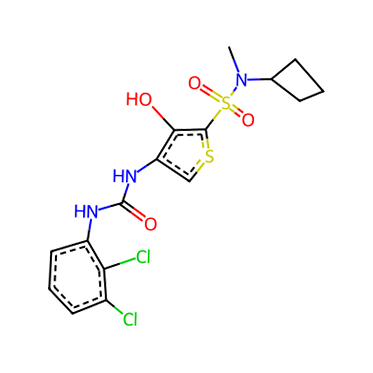 CN(C1CCC1)S(=O)(=O)c1scc(NC(=O)Nc2cccc(Cl)c2Cl)c1O